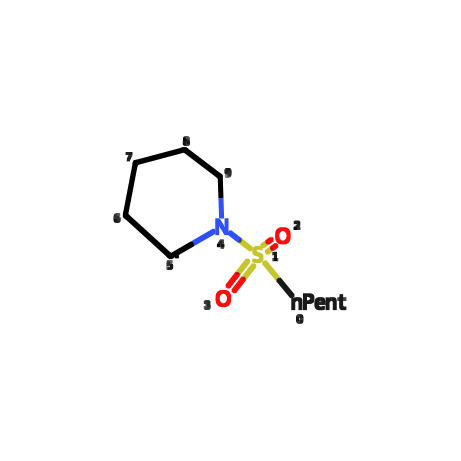 CCCCCS(=O)(=O)N1[CH]CCCC1